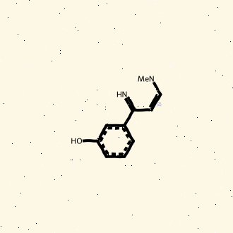 CN/C=C\C(=N)c1cccc(O)c1